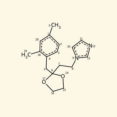 Cc1ccc(CC2(CCn3ccnc3)OCCO2)c(C)c1